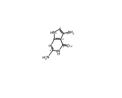 Bc1c[nH]c2nc(N)[nH]c(=O)c12